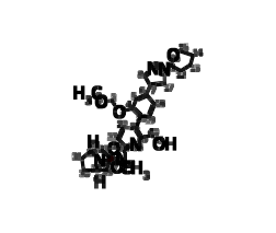 COCOc1cc(-c2cnn(C3CCCCO3)c2)ccc1-c1ccc(N(C)C2C[C@H]3CC[C@@H](C2)N3C(=O)O)nc1CO